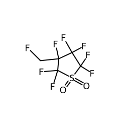 O=S1(=O)C(F)(F)C(F)(F)C(F)(CF)C1(F)F